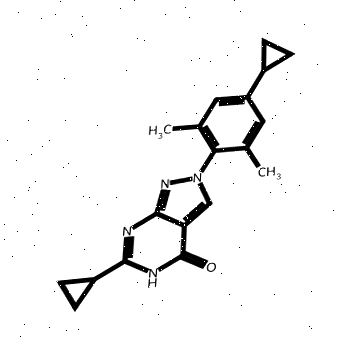 Cc1cc(C2CC2)cc(C)c1-n1cc2c(=O)[nH]c(C3CC3)nc2n1